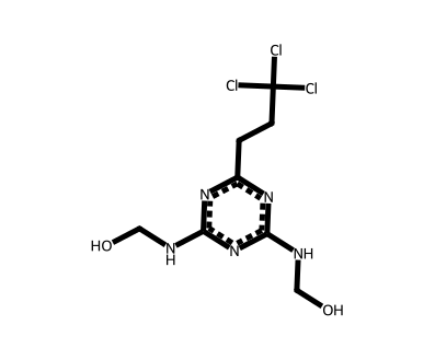 OCNc1nc(CCC(Cl)(Cl)Cl)nc(NCO)n1